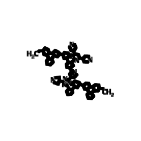 C=Cc1ccc2c3ccc(-c4cccc(-c5ccc(-c6cc(-c7nc(-c8ccncc8)nc(-c8ccccc8-c8cccc(-c9ccc%10c%11ccc(C=C)cc%11c%11ccccc%11c%10c9)c8)n7)ccn6)cc5-c5nc(-c6ccncc6)cc(-c6ccncc6)n5)c4)cc3c3ccccc3c2c1